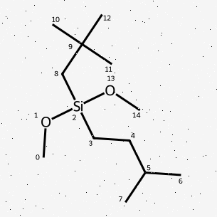 CO[Si](CCC(C)C)(CC(C)(C)C)OC